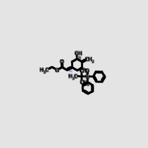 C=C1[C@H](O)C/C(=C\C(=O)OCC)C[C@H]1O[Si](c1ccccc1)(c1ccccc1)C(C)(C)C